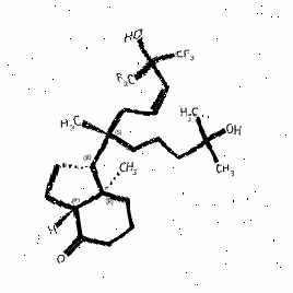 CC(C)(O)CCC[C@@](C)(CC=CC(O)(C(F)(F)F)C(F)(F)F)[C@H]1CC[C@H]2C(=O)CCC[C@]12C